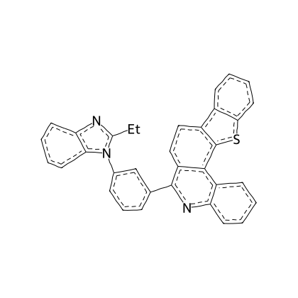 CCc1nc2ccccc2n1-c1cccc(-c2nc3ccccc3c3c2ccc2c4ccccc4sc23)c1